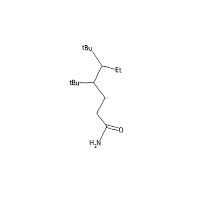 CCC(C([CH]CC(N)=O)C(C)(C)C)C(C)(C)C